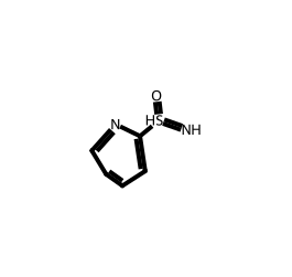 N=[SH](=O)c1ccccn1